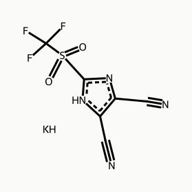 N#Cc1nc(S(=O)(=O)C(F)(F)F)[nH]c1C#N.[KH]